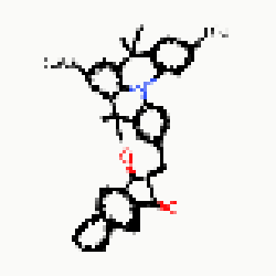 CC(C)(C)c1ccc2c(c1)C(C)(C)c1cc(C(C)(C)C)cc3c1N2c1ccc(C=C2C(=O)c4cc5ccccc5cc4C2=O)cc1C3(C)C